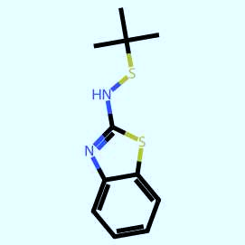 CC(C)(C)SNc1nc2ccccc2s1